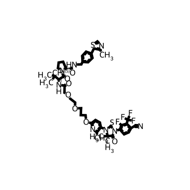 Cc1nc(OCCCOCCOCC(=O)N[C@H](C(=O)N2CCC[C@H]2C(=O)NCc2ccc(-c3scnc3C)cc2)C(C)(C)C)ccc1N1C(=S)N(c2ccc(C#N)c(C(F)(F)F)c2F)C(=O)C1(C)C